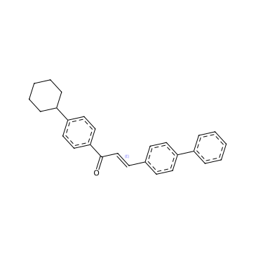 O=C(/C=C/c1ccc(-c2ccccc2)cc1)c1ccc(C2CCCCC2)cc1